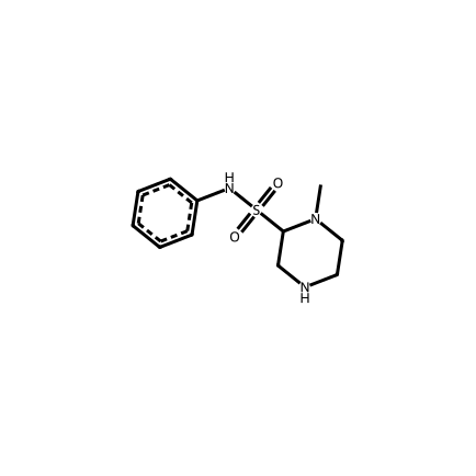 CN1CCNCC1S(=O)(=O)Nc1ccccc1